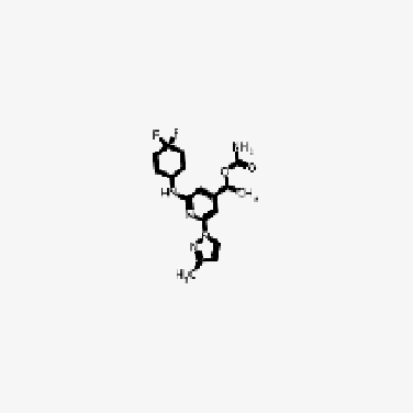 Cc1ccn(-c2cc(C(C)OC(N)=O)cc(NC3CCC(F)(F)CC3)n2)n1